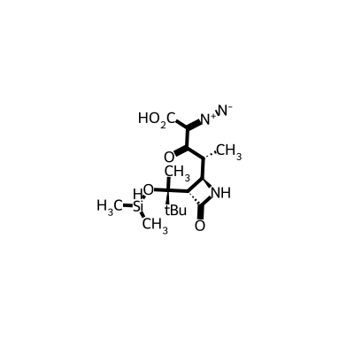 C[C@@H](C(=O)C(=[N+]=[N-])C(=O)O)[C@H]1NC(=O)[C@@H]1[C@@](C)(O[SiH](C)C)C(C)(C)C